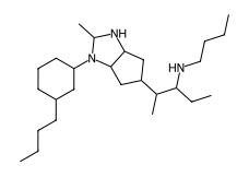 CCCCNC(CC)C(C)C1CC2NC(C)N(C3CCCC(CCCC)C3)C2C1